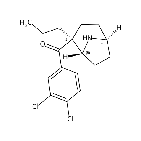 CCC[C@]1(C(=O)c2ccc(Cl)c(Cl)c2)CC[C@H]2CC[C@H]1N2